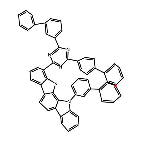 c1ccc(-c2ccc(-c3nc(-c4cccc(-c5ccccc5)c4)nc(-c4cccc5c4sc4c5ccc5c6ccccc6n(-c6cccc(-c7ccccc7)c6)c54)n3)cc2)cc1